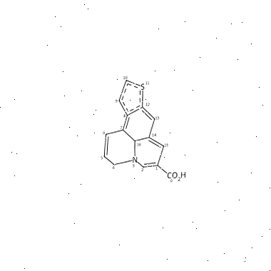 O=C(O)C1=CN2CC=CC3=c4ccsc4=CC(=C1)C32